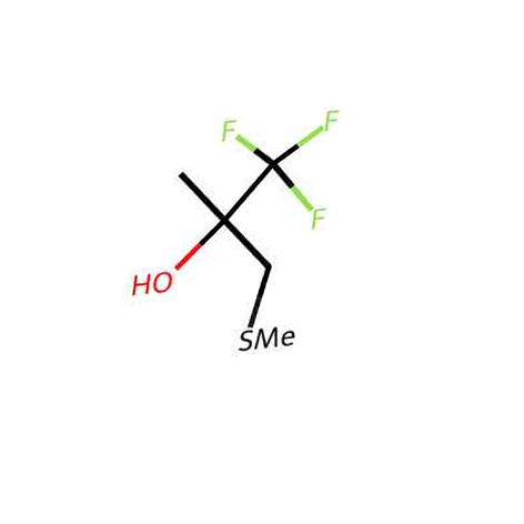 CSCC(C)(O)C(F)(F)F